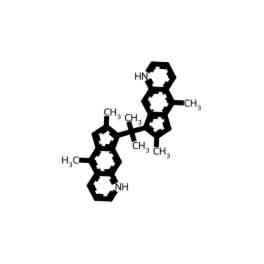 Cc1cc2c(C)c3ccc[nH]c3cc2c1C(C)(C)c1c(C)cc2c(C)c3ccc[nH]c3cc12